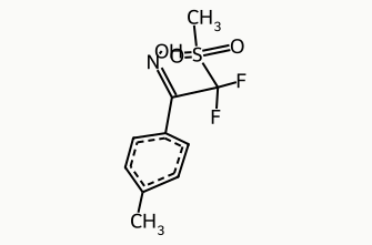 Cc1ccc(C(=NO)C(F)(F)S(C)(=O)=O)cc1